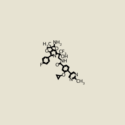 Cc1ncc(-c2ccc(C(=O)NCC(O)(c3cc4c(c(-c5ccc(F)cc5)n3)OC[C@]4(C)C(N)=O)C(F)(F)F)cc2OC2CC2)cn1